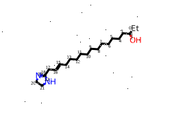 CCC(O)CCCCCCCCCCCCC=CCC1=NCCN1